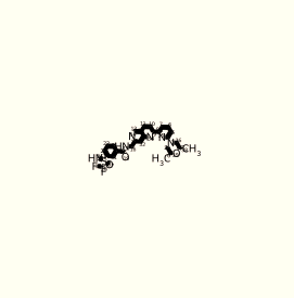 C[C@@H]1CN(c2cccc(-c3ccc4cnc(CNC(=O)c5cccc(S(=N)(=O)C(F)F)c5)cc4n3)n2)C[C@H](C)O1